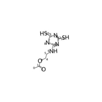 CC(=O)OCCNc1nc(S)nc(S)n1